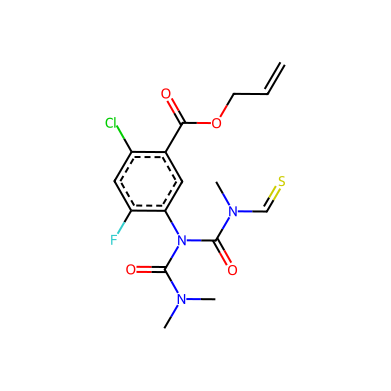 C=CCOC(=O)c1cc(N(C(=O)N(C)C)C(=O)N(C)C=S)c(F)cc1Cl